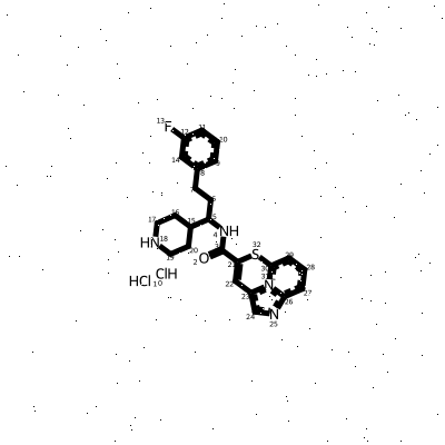 Cl.Cl.O=C(NC(CCc1cccc(F)c1)C1CCNCC1)C1=Cc2cnc3cccc(n23)S1